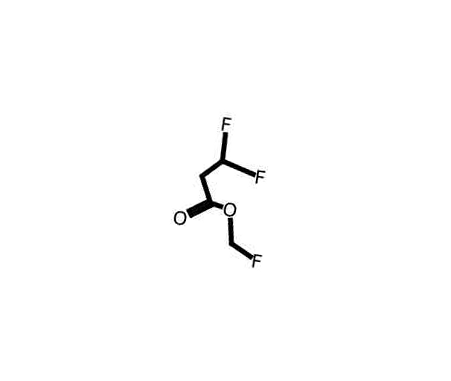 O=C(CC(F)F)OCF